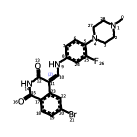 CN1CCN(c2ccc(N/C=C3\C(=O)NC(=O)c4ccc(Br)cc43)cc2F)CC1